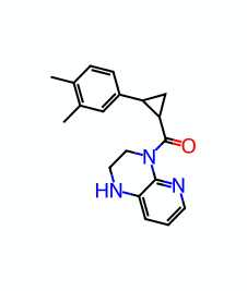 Cc1ccc(C2CC2C(=O)N2CCNc3cccnc32)cc1C